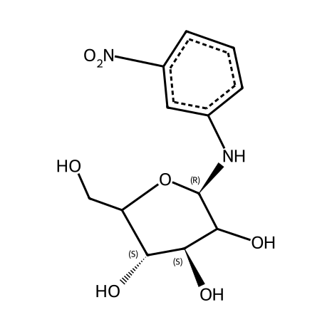 O=[N+]([O-])c1cccc(N[C@@H]2OC(CO)[C@@H](O)[C@H](O)C2O)c1